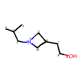 CC(C)CN1CC(CCO)C1